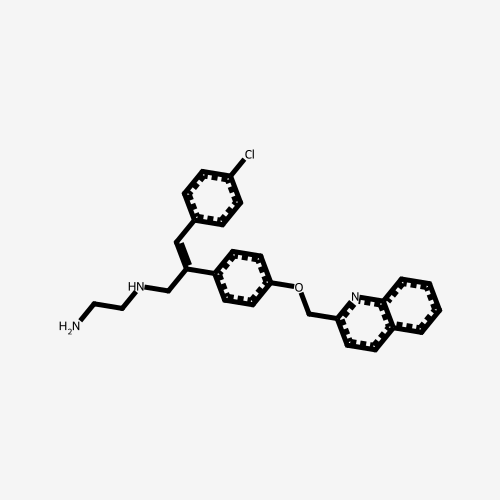 NCCNC/C(=C/c1ccc(Cl)cc1)c1ccc(OCc2ccc3ccccc3n2)cc1